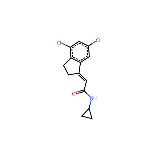 O=C(/C=C1\CCc2c(Cl)cc(Cl)cc21)NC1CC1